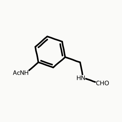 CC(=O)Nc1cccc(CNC=O)c1